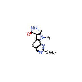 CSc1ncc2c(n1)-c1c(c(C(N)=O)c(C)n1C(C)C)CC2